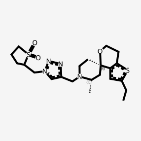 CCc1cc2c(s1)CCO[C@@]21CCN(Cc2cn(CC3CCCS3(=O)=O)nn2)[C@@H](C)C1